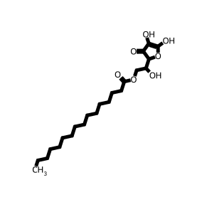 CCCCCCCCCCCCCCCC(=O)OCC(O)C1OC(O)=C(O)C1=O